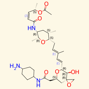 CC(=O)O[C@@H](C)/C=C\C(=O)N[C@@H]1C[C@H](C)[C@H](C/C=C(C)/C=C/[C@H]2O[C@H](CC(=O)NC3CCC(N)CC3)C[C@@]3(CO3)[C@@H]2O)O[C@@H]1C